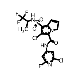 CC(NS(=O)(=O)c1c(Cl)c(C(=O)Nc2cc(F)nc(Cl)c2)n2c1C=CC2)C(F)(F)F